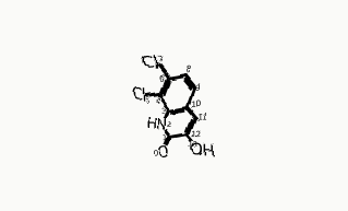 O=c1[nH]c2c(Cl)c(Cl)ccc2cc1O